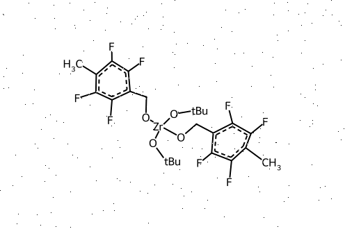 Cc1c(F)c(F)c(C[O][Zr]([O]Cc2c(F)c(F)c(C)c(F)c2F)([O]C(C)(C)C)[O]C(C)(C)C)c(F)c1F